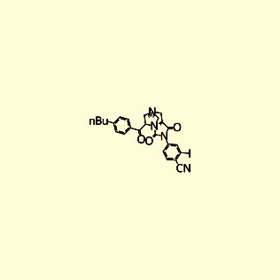 CCCCc1ccc(C(=O)C2C[N@@]3CC4C(=O)N(c5ccc(C#N)c(I)c5)C(=O)[N+]24C3)cc1